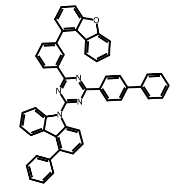 c1ccc(-c2ccc(-c3nc(-c4cccc(-c5cccc6oc7ccccc7c56)c4)nc(-n4c5ccccc5c5c(-c6ccccc6)cccc54)n3)cc2)cc1